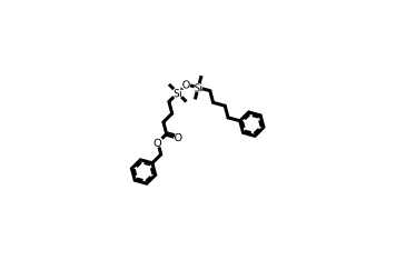 C[Si](C)(CCCCc1ccccc1)O[Si](C)(C)CCCC(=O)OCc1ccccc1